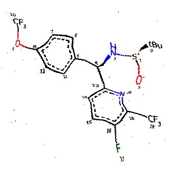 CC(C)(C)[S@@+]([O-])N[C@H](c1ccc(OC(F)(F)F)cc1)c1ccc(F)c(C(F)(F)F)n1